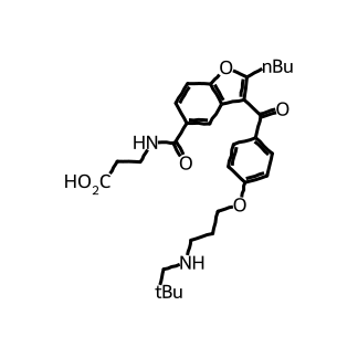 CCCCc1oc2ccc(C(=O)NCCC(=O)O)cc2c1C(=O)c1ccc(OCCCNCC(C)(C)C)cc1